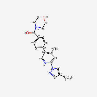 N#Cc1cc(-n2cc(C(=O)O)cn2)ncc1-c1ccc(C(=O)N2CCOCC2)cc1